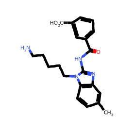 Cc1ccc2c(c1)nc(NC(=O)c1cccc(C(=O)O)c1)n2CCCCCN